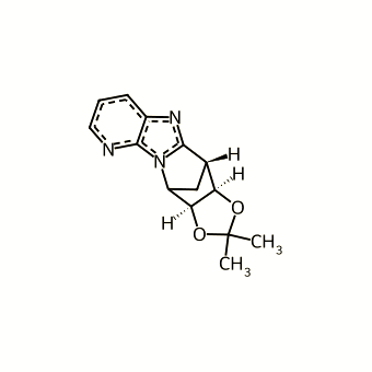 CC1(C)O[C@@H]2[C@@H]3CC([C@@H]2O1)n1c3nc2cccnc21